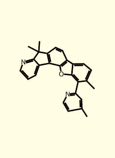 Cc1ccnc(-c2c(C)ccc3c2oc2c4c(ccc23)C(C)(C)c2ncccc2-4)c1